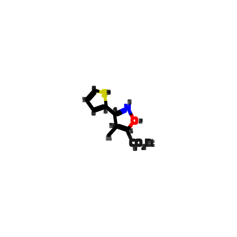 CCOC(=O)c1onc(-c2cccs2)c1C